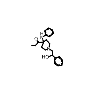 CCC(=O)C1(Nc2ccccc2)CCN(CC(O)c2ccccc2)CC1